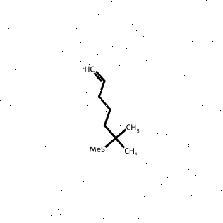 [CH]=CCCCC(C)(C)SC